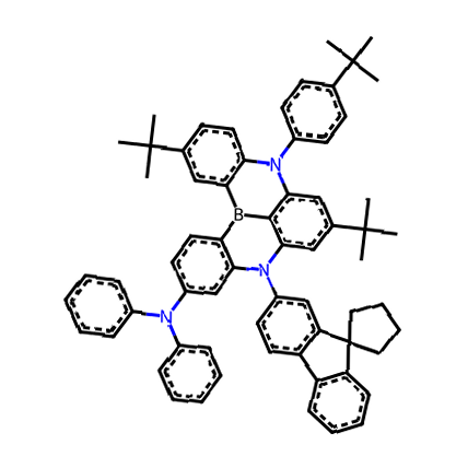 CC(C)(C)c1ccc(N2c3ccc(C(C)(C)C)cc3B3c4ccc(N(c5ccccc5)c5ccccc5)cc4N(c4ccc5c(c4)C4(CCCC4)c4ccccc4-5)c4cc(C(C)(C)C)cc2c43)cc1